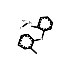 CC(C)(C)[O-].Cc1ccccc1Oc1ccccc1C.[Na+]